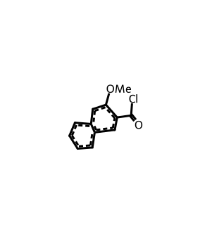 COc1cc2ccccc2cc1C(=O)Cl